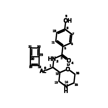 CC(=O)C(NC(=O)c1ccc(O)cc1)C1CNCCO1.c1cc2ccc1-2